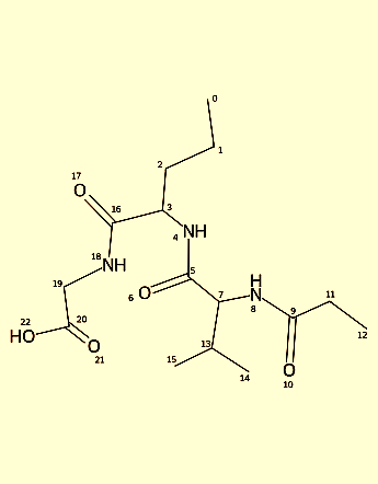 CCCC(NC(=O)C(NC(=O)CC)C(C)C)C(=O)NCC(=O)O